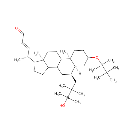 C[C@H](/C=C/C=O)[C@H]1CCC2C3C[C@H](CC(C)(C)[Si](C)(C)O)[C@@H]4C[C@H](O[Si](C)(C)C(C)(C)C)CC[C@]4(C)C3CC[C@@]21C